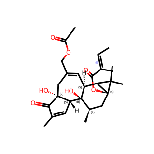 C/C=C(\C)C(=O)O[C@@]12C[C@@H](C)[C@@]3(O)[C@@H](C=C(COC(C)=O)C[C@]4(O)C(=O)C(C)=C[C@@H]34)C1C2(C)C